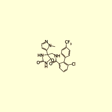 Cn1nccc1C1(CNC(=O)c2cccc(Cl)c2-c2ccc(C(F)(F)F)cc2)NC(=O)NC1=O